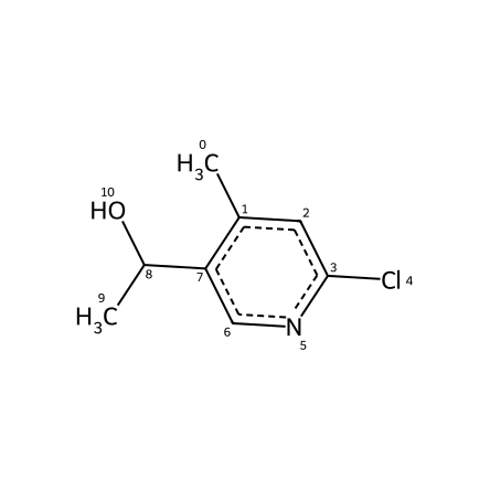 Cc1cc(Cl)ncc1C(C)O